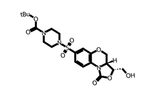 CC(C)(C)OC(=O)N1CCN(S(=O)(=O)c2ccc3c(c2)OC[C@@H]2[C@H](CO)OC(=O)N32)CC1